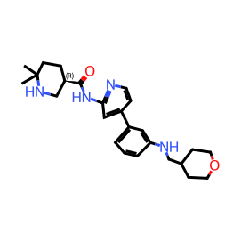 CC1(C)CC[C@@H](C(=O)Nc2cc(-c3cccc(NCC4CCOCC4)c3)ccn2)CN1